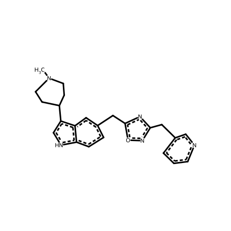 CN1CCC(c2c[nH]c3ccc(Cc4nc(Cc5cccnc5)no4)cc23)CC1